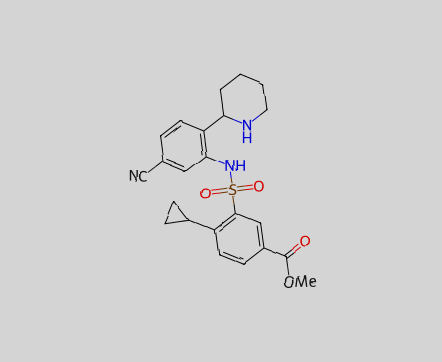 COC(=O)c1ccc(C2CC2)c(S(=O)(=O)Nc2cc(C#N)ccc2C2CCCCN2)c1